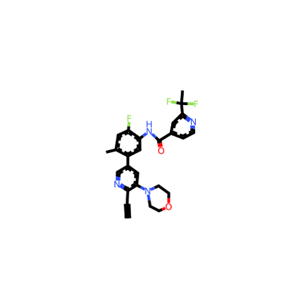 C#Cc1ncc(-c2cc(NC(=O)c3ccnc(C(C)(F)F)c3)c(F)cc2C)cc1N1CCOCC1